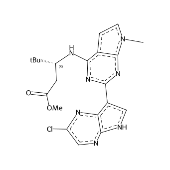 COC(=O)C[C@@H](Nc1nc(-c2c[nH]c3ncc(Cl)nc23)nc2c1ccn2C)C(C)(C)C